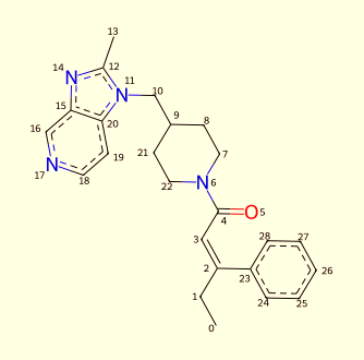 CCC(=CC(=O)N1CCC(Cn2c(C)nc3cnccc32)CC1)c1ccccc1